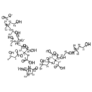 CC(O)CC(=O)OC(CC(=O)O)(CC(=O)O)C(=O)O.CC(O)CC(=O)OC(CC(=O)O)(CC(=O)O)C(=O)O.CC(O)CC(=O)[O-].CCO.CCO.CN1CC(=O)NC1=N.C[N+](C)(C)CCO.C[N+](C)(C)CCO.O=C[O-]